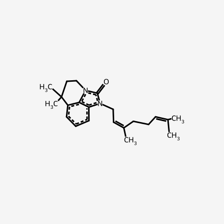 CC(C)=CCCC(C)=CCn1c(=O)n2c3c(cccc31)C(C)(C)CC2